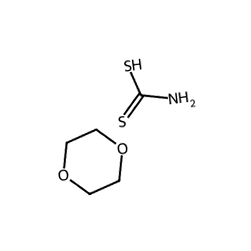 C1COCCO1.NC(=S)S